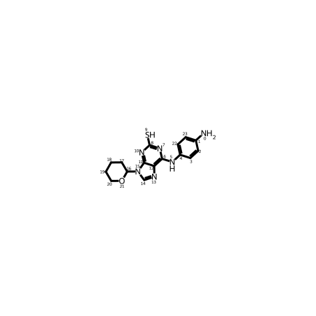 Nc1ccc(Nc2nc(S)nc3c2ncn3C2CCCCO2)cc1